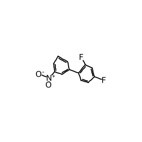 O=[N+]([O-])c1cccc(-c2ccc(F)cc2F)c1